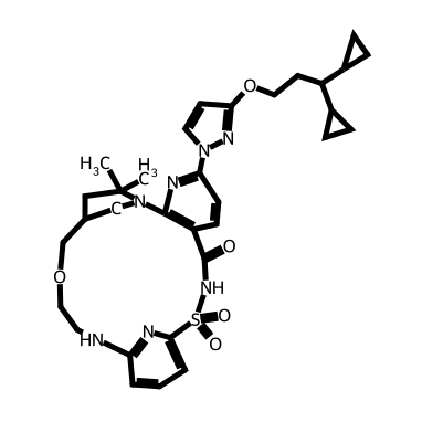 CC1(C)CC2COCCNc3cccc(n3)S(=O)(=O)NC(=O)c3ccc(-n4ccc(OCCC(C5CC5)C5CC5)n4)nc3N1C2